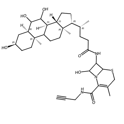 C#CCNC(=O)C1=C(C)CSC2C(NC(=O)CC[C@@H](C)[C@H]3CC[C@H]4[C@@H]5C(O)C(O)[C@@H]6C[C@H](O)CC[C@]6(C)C5CC[C@]34C)C(O)N12